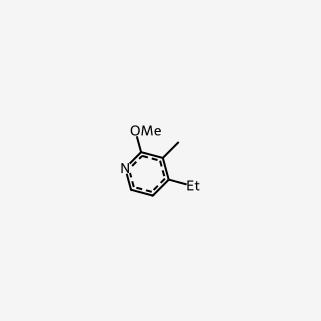 CCc1ccnc(OC)c1C